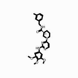 COc1cc(Nc2nccc(N3CCC[C@H](C(=O)NCc4cccc(C)c4)C3)n2)cc(OC)c1OC